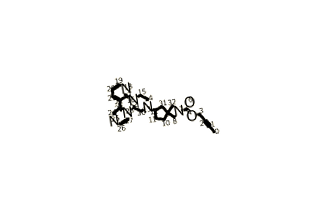 CC#CCOC(=O)N1CC2(CCC(N3CCN(c4ncccc4-c4cnccn4)CC3)C2)C1